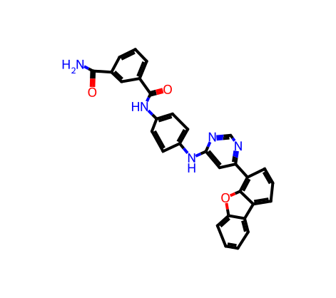 NC(=O)c1cccc(C(=O)Nc2ccc(Nc3cc(-c4cccc5c4oc4ccccc45)ncn3)cc2)c1